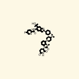 CN(C[C@H]1CC[C@H](n2cc3cc(NC(=O)c4ccc(F)cn4)c(C(C)(C)O)cc3n2)CC1)C1CCN(c2cccc3c2n(C)c(=O)n3C2CCC(=O)NC2=O)CC1